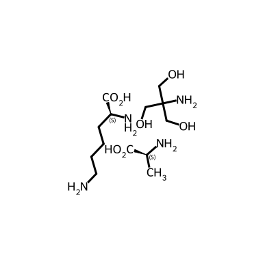 C[C@H](N)C(=O)O.NC(CO)(CO)CO.NCCCC[C@H](N)C(=O)O